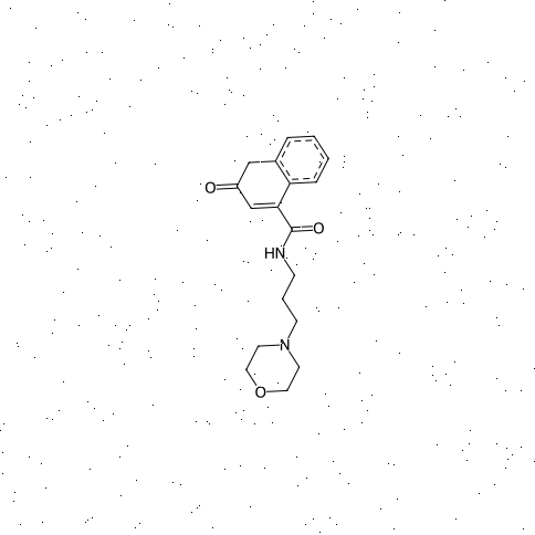 O=C1C=C(C(=O)NCCCN2CCOCC2)c2ccccc2C1